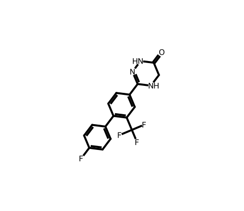 O=C1CNC(c2ccc(-c3ccc(F)cc3)c(C(F)(F)F)c2)=NN1